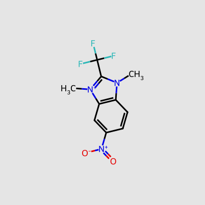 Cn1c(C(F)(F)F)[n+](C)c2cc([N+](=O)[O-])ccc21